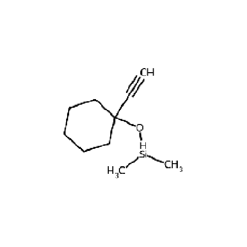 C#CC1(O[SiH](C)C)CCCCC1